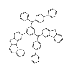 c1ccc(-c2ccc(N(c3ccccc3)c3cc(-c4ccc5sc6ccc7ccccc7c6c5c4)cc(N(c4ccc(-c5ccccc5)cc4)c4ccc5oc6ccccc6c5c4)c3)cc2)cc1